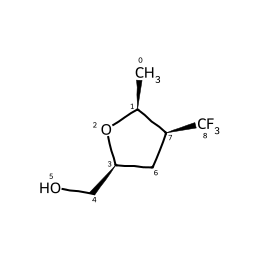 C[C@@H]1O[C@H](CO)C[C@@H]1C(F)(F)F